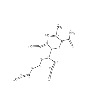 NC(=O)C(CC(N=C=O)C(CCCN=C=O)N=C=O)C(N)=O